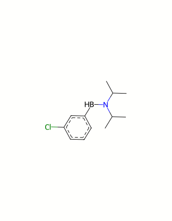 CC(C)N(Bc1cccc(Cl)c1)C(C)C